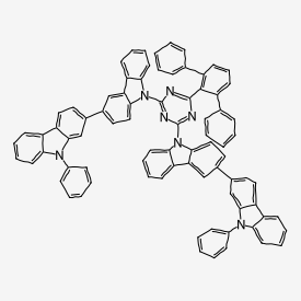 c1ccc(-c2cccc(-c3ccccc3)c2-c2nc(-n3c4ccccc4c4cc(-c5ccc6c7ccccc7n(-c7ccccc7)c6c5)ccc43)nc(-n3c4ccccc4c4cc(-c5ccc6c7ccccc7n(-c7ccccc7)c6c5)ccc43)n2)cc1